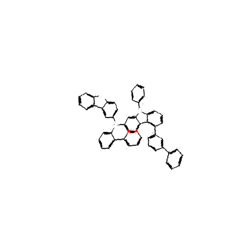 c1ccc(-c2cccc(-c3cccc4c3c3ccc(N(c5ccc6oc7ccccc7c6c5)c5ccccc5-c5ccccc5)cc3n4-c3ccccc3)c2)cc1